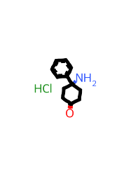 Cl.NC1(c2ccccc2)CCC(=O)CC1